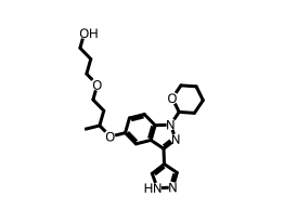 CC(CCOCCCO)Oc1ccc2c(c1)c(-c1cn[nH]c1)nn2C1CCCCO1